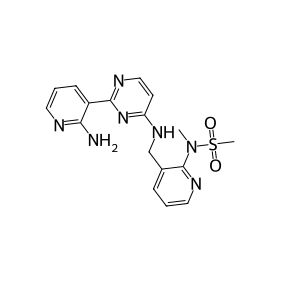 CN(c1ncccc1CNc1ccnc(-c2cccnc2N)n1)S(C)(=O)=O